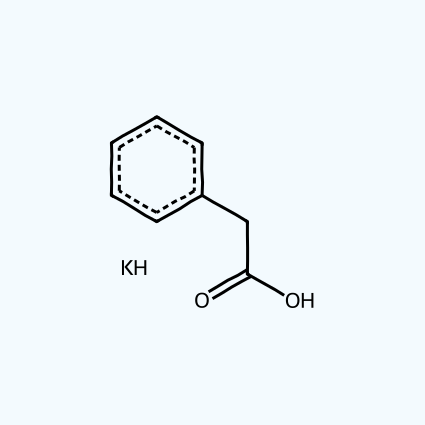 O=C(O)Cc1ccccc1.[KH]